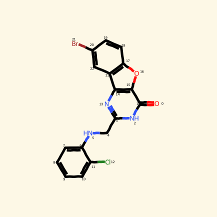 O=c1[nH]c(CNc2ccccc2Cl)nc2c1oc1ccc(Br)cc12